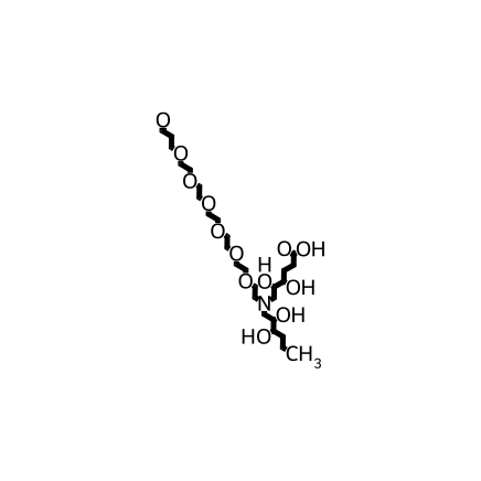 CCCC(O)C(O)CN(CCOCCOCCOCCOCCOCCOCCC=O)CC(O)C(O)CCC(=O)O